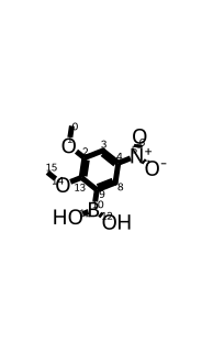 COc1cc([N+](=O)[O-])cc(B(O)O)c1OC